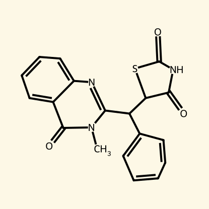 Cn1c(C(c2ccccc2)C2SC(=O)NC2=O)nc2ccccc2c1=O